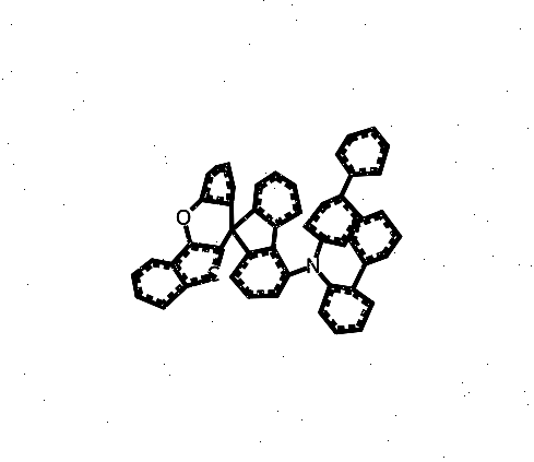 c1ccc(-c2ccc(N(c3ccccc3-c3ccccc3)c3cccc4c3-c3ccccc3C43c4ccccc4Oc4c3ccc3ccccc43)cc2)cc1